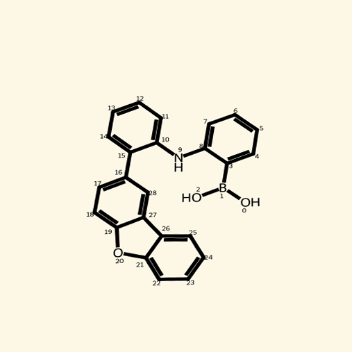 OB(O)c1ccccc1Nc1ccccc1-c1ccc2oc3ccccc3c2c1